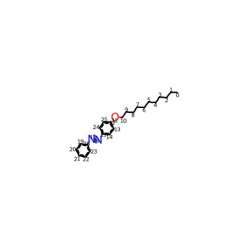 CCCCCCCCCCCOc1ccc(/N=N/c2ccccc2)cc1